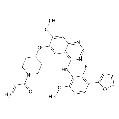 C=CC(=O)N1CCC(Oc2cc3c(Nc4c(OC)ccc(-c5ccco5)c4F)ncnc3cc2OC)CC1